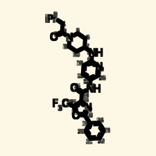 CC(C)CC(=O)N1CCC(Nc2ccc(NC(=O)c3nc(-c4ccccc4)oc3C(F)(F)F)cn2)CC1